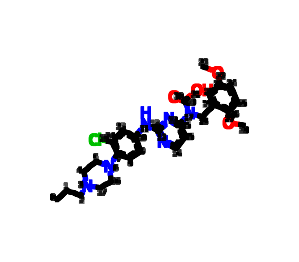 CCCN1CCN(c2ccc(Nc3nccc(N(Cc4cc(OC)ccc4OC)C(=O)O)n3)cc2Cl)CC1